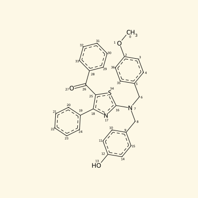 COc1ccc(CN(Cc2ccc(O)cc2)c2nc(-c3ccccc3)c(C(=O)c3ccccc3)s2)cc1